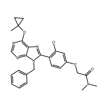 CN(C)C(=O)COc1ccc(-c2nc3c(OC4(C)CC4)ncnc3n2Cc2ccccc2)c(Cl)c1